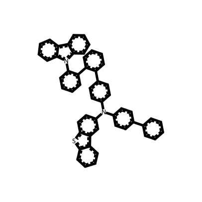 c1ccc(-c2ccc(N(c3ccc(-c4ccccc4-c4ccccc4-n4c5ccccc5c5ccccc54)cc3)c3ccc4sc5ccccc5c4c3)cc2)cc1